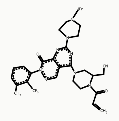 C=CC(=O)N1CCN(c2nc(N3CCN(C(C)C)CC3)nc3c(=O)n(-c4cccc(C)c4C(F)(F)F)ncc23)CC1CC#N